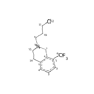 FC(F)(F)c1cccc2c1CN(CCCCl)CC2